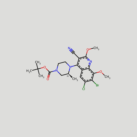 COc1nc2c(OC)c(Br)c(Cl)cc2c(N2CCN(C(=O)OC(C)(C)C)C[C@@H]2C)c1C#N